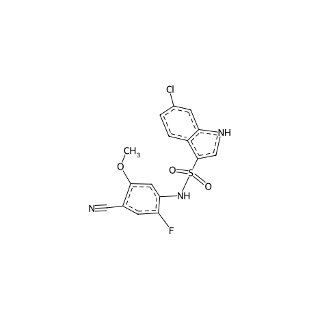 COc1cc(NS(=O)(=O)c2c[nH]c3cc(Cl)ccc23)c(F)cc1C#N